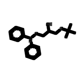 CC(C)(C)OCC(O)CO[SiH](c1ccccc1)c1ccccc1